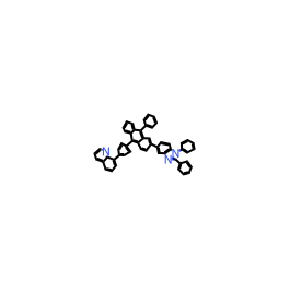 c1ccc(-c2c3ccccc3c(-c3ccc(-c4cccc5cccnc45)cc3)c3ccc(-c4ccc5c(c4)nc(-c4ccccc4)n5-c4ccccc4)cc23)cc1